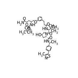 Cc1ncsc1-c1ccc([C@H](C)NC(=O)[C@@H]2C[C@@H](O)CN2C(=O)[C@@H](NC(=O)CCc2cccc(OC[C@H](CCC(N)=O)NC(=O)OC(C)(C)C)c2)C(C)(C)C)cc1